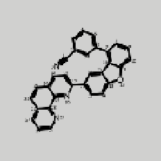 N#Cc1cccc(-c2cccc3oc4ccc(-c5ccc6ccc7cccnc7c6n5)cc4c23)c1